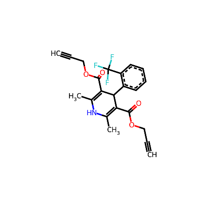 C#CCOC(=O)C1=C(C)NC(C)=C(C(=O)OCC#C)C1c1ccccc1C(F)(F)F